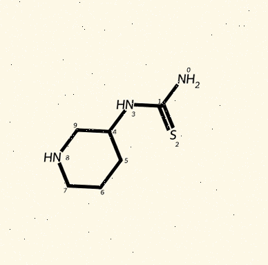 NC(=S)NC1CCCNC1